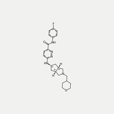 O=C(Nc1ccc(F)cc1)c1ccc(N[C@H]2C[C@@H]3CN(CC4CCOCC4)C[C@@H]3C2)nn1